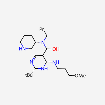 COCCCNC1N[C@H](C(C)(C)C)N=CC1C(O)N(CC(C)C)[C@H]1CCCNC1